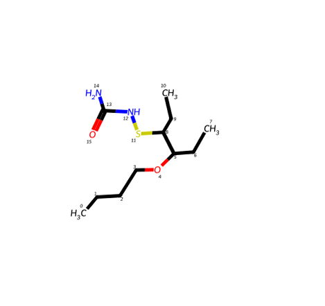 CCCCOC(CC)C(CC)SNC(N)=O